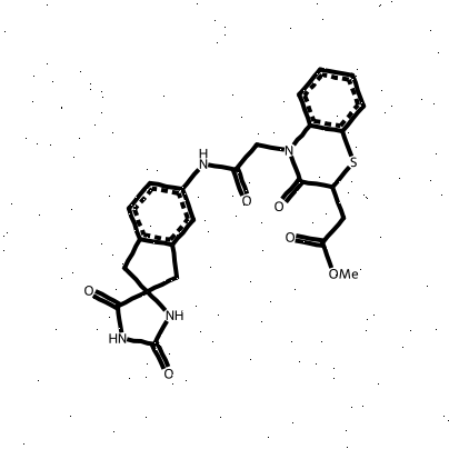 COC(=O)CC1Sc2ccccc2N(CC(=O)Nc2ccc3c(c2)CC2(C3)NC(=O)NC2=O)C1=O